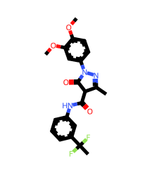 COc1ccc(N2N=C(C)C(C(=O)Nc3cccc(C(C)(F)F)c3)C2=O)cc1OC